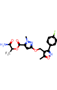 Cc1onc(-c2ccc(F)cc2)c1COc1cc(C(=O)OC(C(N)=O)C(F)(F)F)n(C)n1